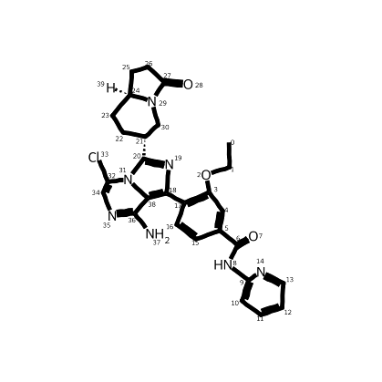 CCOc1cc(C(=O)Nc2ccccn2)ccc1-c1nc([C@@H]2CC[C@H]3CCC(=O)N3C2)n2c(Cl)cnc(N)c12